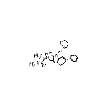 C[C@H](NCc1cc2ccc(-c3ccccc3)cc2n(CCN2CCCCC2)c1=O)C(N)=O